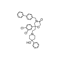 O=C1COC(CCN2CCC(O)(c3ccccc3)CC2)(c2ccc(Cl)c(Cl)c2)CN1Cc1ccc(-c2ccccc2)cc1